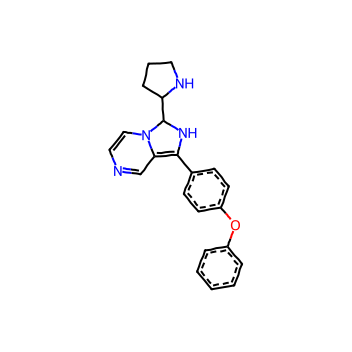 C1=CN2C(=C(c3ccc(Oc4ccccc4)cc3)NC2C2CCCN2)C=N1